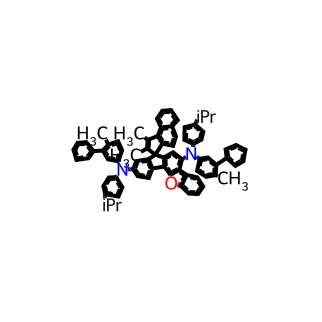 CC1=C(C)C2(c3cc(N(c4ccc(C(C)C)cc4)c4ccc(C)c(-c5ccccc5)c4)ccc3-c3c2cc(N(c2ccc(C(C)C)cc2)c2ccc(C)c(-c4ccccc4)c2)c2c3oc3ccccc32)c2ccc3ccccc3c21